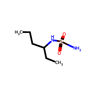 CCCC(CC)NS(N)(=O)=O